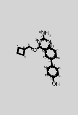 Nc1nc(OCC2CCC2)c2cc(-c3ccc(O)cc3)ccc2n1